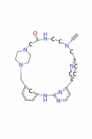 C#CN1CCNC(=O)CN2CCN(CC2)Cc2cccc(c2)Nc2nccc(n2)-c2ccc(nc2)C1